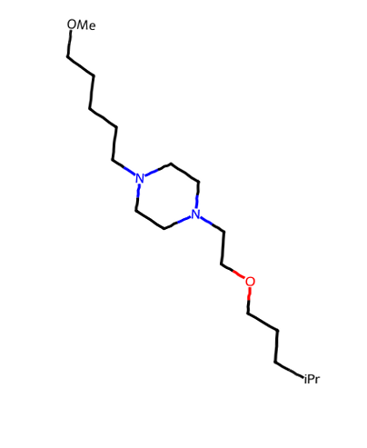 COCCCCCN1CCN(CCOCCCC(C)C)CC1